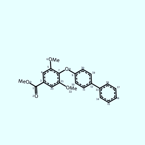 COC(=O)c1cc(OC)c(Oc2ccc(-c3ccccc3)cc2)c(OC)c1